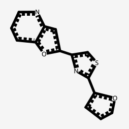 c1coc(-c2nc(-c3cc4ncccc4o3)cs2)c1